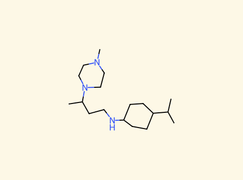 CC(C)C1CCC(NCCC(C)N2CCN(C)CC2)CC1